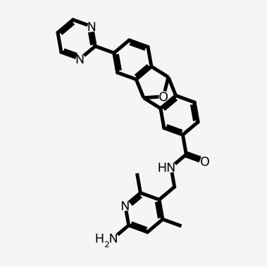 Cc1cc(N)nc(C)c1CNC(=O)c1ccc2c(c1)C1OC2c2ccc(-c3ncccn3)cc21